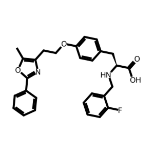 Cc1oc(-c2ccccc2)nc1CCOc1ccc(C[C@H](NCc2ccccc2F)C(=O)O)cc1